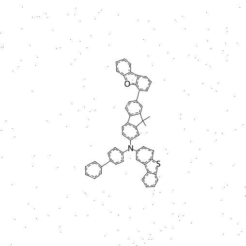 CC1(C)c2cc(-c3cccc4c3oc3ccccc34)ccc2-c2ccc(N(c3ccc(-c4ccccc4)cc3)c3ccc4sc5ccccc5c4c3)cc21